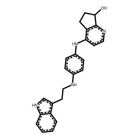 OC1CCc2c(Nc3ccc(NCCc4c[nH]c5ccccc45)cc3)ccnc21